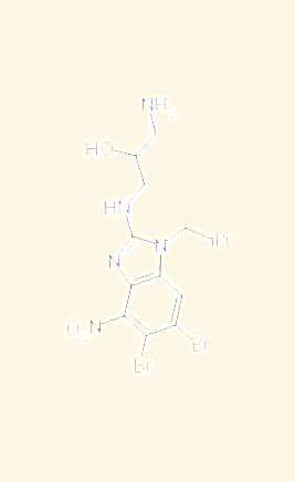 CC(C)Cn1c(NCC(O)CN)nc2c([N+](=O)[O-])c(Br)c(Br)cc21